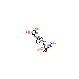 C=C1/C(=C\C=C2/CCC[C@]3(C)[C@@H]([C@@H](C)/C=C/[C@@H](O)C4(c5nc(CCCC)cs5)CC4)CC[C@@H]23)C[C@@H](O)C[C@@H]1O